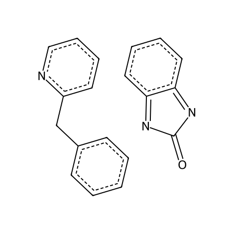 O=C1N=c2ccccc2=N1.c1ccc(Cc2ccccn2)cc1